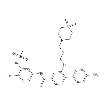 CS(=O)(=O)Nc1cc(NC(=O)c2ccc(-c3ccc(C(F)(F)F)cc3)c(OCCCN3CCS(=O)(=O)CC3)c2)ccc1O